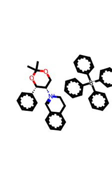 CC1(C)OC[C@H]([N+]2=Cc3ccccc3CC2)[C@H](c2ccccc2)O1.c1ccc([B-](c2ccccc2)(c2ccccc2)c2ccccc2)cc1